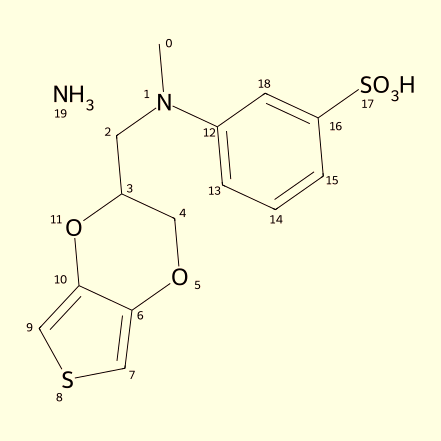 CN(CC1COc2cscc2O1)c1cccc(S(=O)(=O)O)c1.N